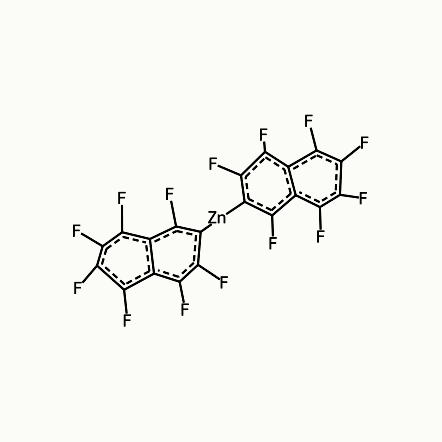 Fc1c(F)c(F)c2c(F)[c]([Zn][c]3c(F)c(F)c4c(F)c(F)c(F)c(F)c4c3F)c(F)c(F)c2c1F